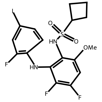 COc1cc(F)c(F)c(Nc2ccc(I)cc2F)c1NS(=O)(=O)C1CCC1